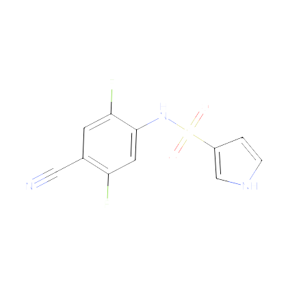 N#Cc1cc(F)c(NS(=O)(=O)c2cc[nH]c2)cc1F